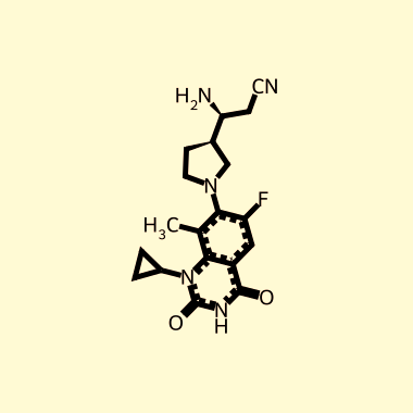 Cc1c(N2CC[C@@H]([C@@H](N)CC#N)C2)c(F)cc2c(=O)[nH]c(=O)n(C3CC3)c12